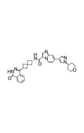 O=C(N[C@H]1CC2(C1)C[C@H](c1n[nH]c(=O)c3ccccc31)C2)c1cnc2cc(-c3cnn(C4CCOCC4)c3)ccn12